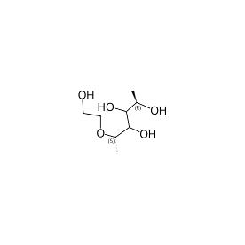 C[C@H](OCCO)C(O)C(O)[C@@H](C)O